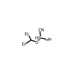 CCC[SiH](C#N)OC(CC)CC